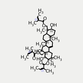 C/C=C(/C)C(=O)OC[C@@]12C(CC(C)(C)[C@@H](OC(=O)/C(C)=C\C)[C@@H]1O)C1=CCC3[C@@](C)(CCC4[C@]3(C)CC[C@H](O)[C@]4(C)COC(=O)/C(C)=C\C)C1C[C@H]2O